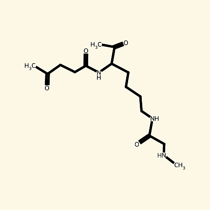 CNCC(=O)NCCCCC(NC(=O)CCC(C)=O)C(C)=O